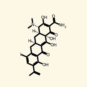 C=C(C)c1cc(I)c2c(c1O)C(=O)C1=C(O)[C@]3(O)C(=O)C(C(N)=O)=C(O)[C@@H](N(C)C)[C@@H]3C[C@@H]1C2